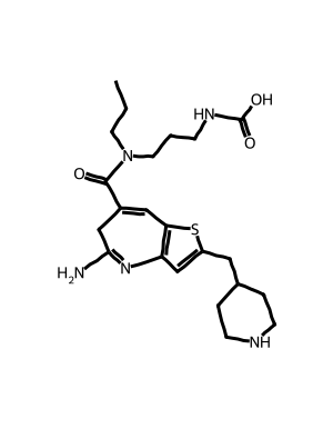 CCCN(CCCNC(=O)O)C(=O)C1=Cc2sc(CC3CCNCC3)cc2N=C(N)C1